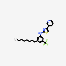 CCCCCCCCc1cc(Nc2nc(-c3cccnc3)cs2)cc(C(F)(F)F)c1